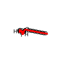 CC[C@@]1(O)C(=O)OCc2c1cc1n(c2=O)Cc2c-1nc1cc(F)c(C)c3c1c2[C@@H](NC(=O)CSSC(C)(C)CNC(=O)CCOCCOCCOCCOCCOCCOCCOCCOCCOCCOCCOCCOCCC(C)C)CC3